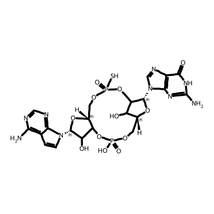 Nc1nc2c(ncn2[C@@H]2O[C@@H]3COP(=O)(O)OC4C(O)[C@H](n5ccc6c(N)ncnc65)O[C@@H]4COP(=O)(S)OC2C3O)c(=O)[nH]1